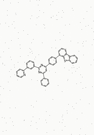 c1ccc(-c2cc(-c3ccc(-c4cccc5c4sc4ccccc45)cc3)nc(-c3cccc(-c4ccccn4)c3)n2)cc1